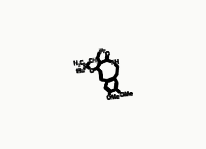 COc1cc2c(cc1OC)CCNC(=O)C(CC(C)C)C(O[Si](C)(C)C(C)(C)C)/C=C/2